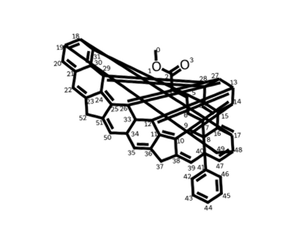 COC(=O)CCCCC12c3c4c5c6c7c3c3c1c1c8c9cc%10cc%11c%12c%13c(c7c7c%12c%10c8c37)C6C(C=C5CC4=CC2(c2ccccc2)C=C1C9)C=C%13C%11